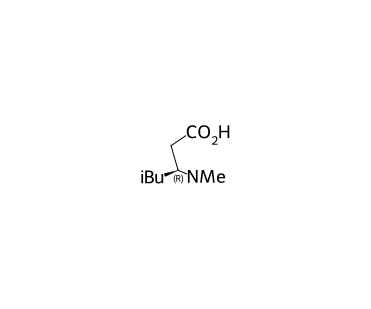 CCC(C)[C@@H](CC(=O)O)NC